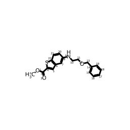 COC(=O)c1cc2cc(NCCOCc3ccccc3)ccc2s1